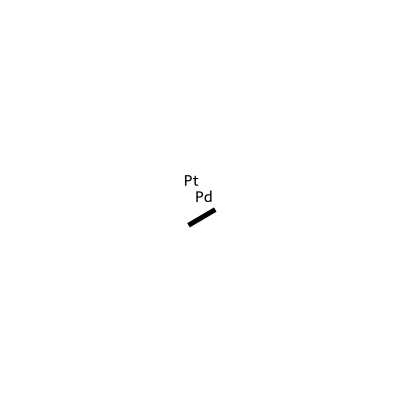 CC.[Pd].[Pt]